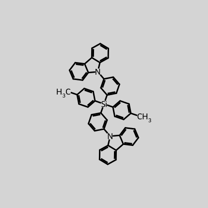 Cc1ccc([Si](c2ccc(C)cc2)(c2cccc(-n3c4ccccc4c4ccccc43)c2)c2cccc(-n3c4ccccc4c4ccccc43)c2)cc1